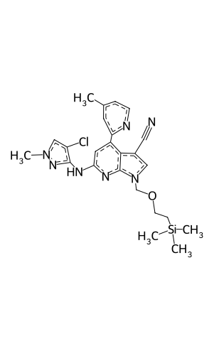 Cc1ccnc(-c2cc(Nc3nn(C)cc3Cl)nc3c2c(C#N)cn3COCC[Si](C)(C)C)c1